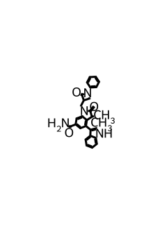 CC1(C)C(=O)N(CC2CN(c3ccccc3)C2=O)c2cc(C(N)=O)cc(-c3c[nH]c4ccccc34)c21